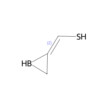 S/C=C1/BC1